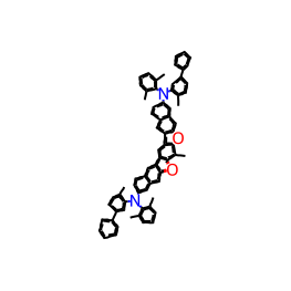 Cc1ccc(-c2ccccc2)cc1N(c1ccc2cc3c(cc2c1)oc1c(C)c2oc4cc5cc(N(c6cc(-c7ccccc7)ccc6C)c6c(C)cccc6C)ccc5cc4c2cc13)c1c(C)cccc1C